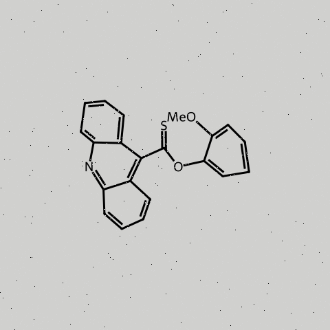 COc1ccccc1OC(=S)c1c2ccccc2nc2ccccc12